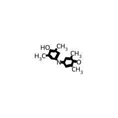 CC1=CC(=Nc2cc(C)c(O)c(C)c2)C=C(C)C1=O